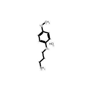 COc1ccc(OCCCN)cc1.Cl